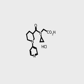 Cl.O=C(O)CN(C(=O)C1CCCN(c2ccncc2)C1)C1CC1